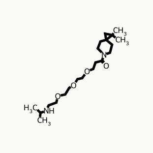 CC(C)NCCOCCOCCOCCC(=O)N1CCC2(CC1)CC2(C)C